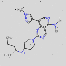 CCN(CC)c1ncc(-c2cnn(C)c2)c2nc(N3CCC(N[C@@H](CCSC)C(=O)O)CC3)ncc12